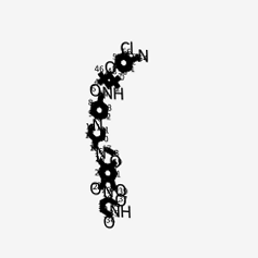 CC1(C)[C@H](NC(=O)c2ccc(N3CCC(CN4CCOc5cc6c(cc5C4)C(=O)N(C4CCC(=O)NC4=O)C6=O)CC3)cc2)C(C)(C)[C@H]1Oc1ccc(C#N)c(Cl)c1